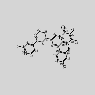 Cc1cc(C2CC(c3cc(-c4ccc(F)cc4F)c4nc(C)c(C)c(=O)n4c3)CCO2)ccn1